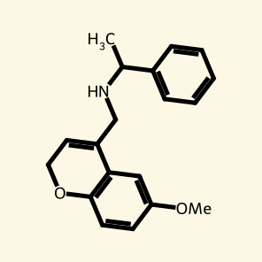 COc1ccc2c(c1)C(CNC(C)c1ccccc1)=CCO2